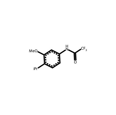 COc1cc(NC(=O)C(F)(F)F)ccc1C(C)C